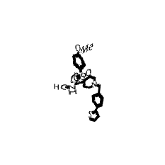 COc1ccc(S(=O)(=O)C2(C(=O)NO)CCN(Cc3ccc(-c4cccs4)cc3)CC2)cc1